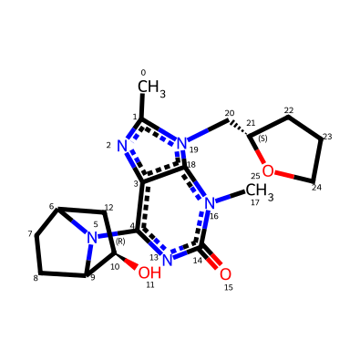 Cc1nc2c(N3C4CCC3[C@H](O)C4)nc(=O)n(C)c2n1C[C@@H]1CCCO1